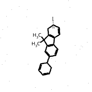 CC1(C)C2=C(C=C[C@@H](I)C2)c2ccc(C3C=CC=CC3)cc21